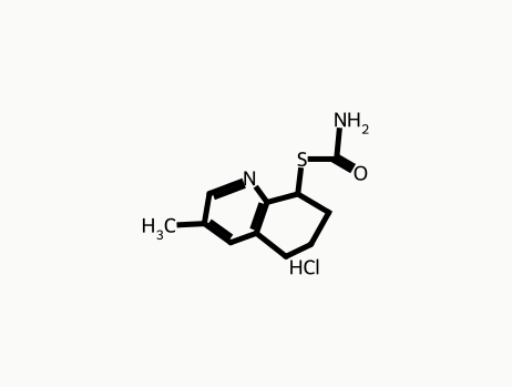 Cc1cnc2c(c1)CCCC2SC(N)=O.Cl